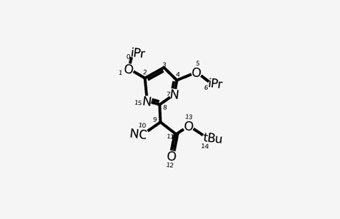 CC(C)Oc1cc(OC(C)C)nc(C(C#N)C(=O)OC(C)(C)C)n1